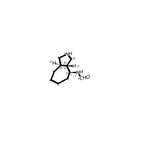 O=CN[C@H]1CCCC[C@H]2CNC[C@@H]21